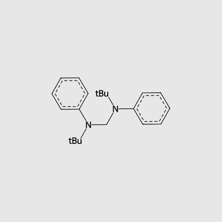 CC(C)(C)N(CN(c1ccccc1)C(C)(C)C)c1ccccc1